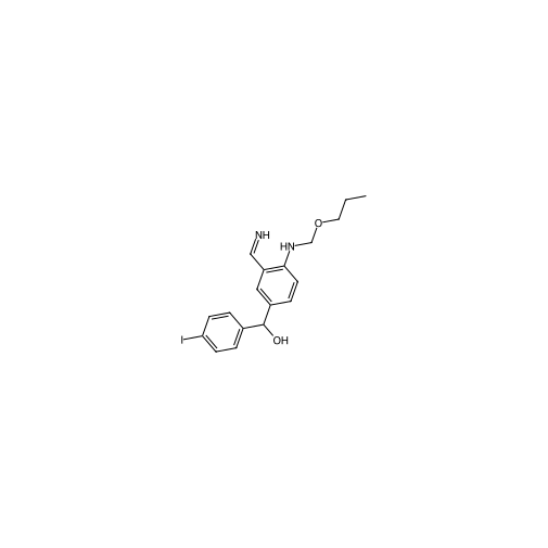 CCCOCNc1ccc(C(O)c2ccc(I)cc2)cc1C=N